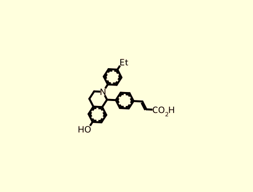 CCc1ccc(N2CCc3cc(O)ccc3C2c2ccc(/C=C/C(=O)O)cc2)cc1